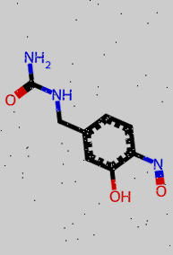 NC(=O)NCc1ccc(N=O)c(O)c1